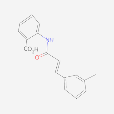 Cc1cccc(C=CC(=O)Nc2ccccc2C(=O)O)c1